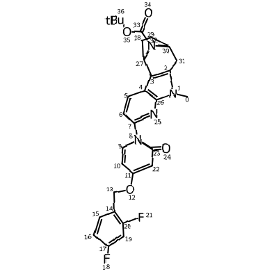 Cn1c2c(c3ccc(-n4ccc(OCc5ccc(F)cc5F)cc4=O)nc31)C1CCC(C2)N1C(=O)OC(C)(C)C